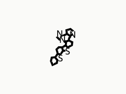 c1ccc2c(c1)sc1c2ccc2c1sc1ccc3c4ncccc4c4nccn4c3c12